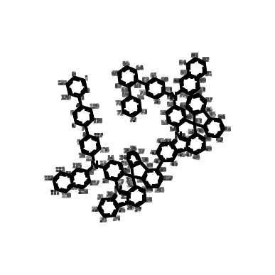 c1ccc(-c2ccc(-c3ccc(N(c4ccc5c(c4)-n4c6ccccc6c6cccc(c64)C54c5ccccc5-c5c(-c6ccc7c(c6)c6cccc8c6n7-c6ccc(N(c7ccc(-c9ccccc9-c9ccccc9)cc7)c7ccc9ccccc9c7)cc6C86c7ccccc7-c7ccccc76)cccc54)c4ccc5ccccc5c4)cc3)cc2)cc1